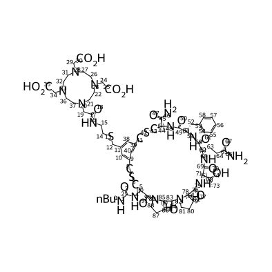 CCCCNC(=O)N[C@H]1CSCc2cc(CSCCNC(=O)CN3CCN(CC(=O)O)CCN(CC(=O)O)CCN(CC(=O)O)CC3)cc(c2)CSC[C@@H](C(N)=O)NC(=O)[C@H](Cc2ccccc2)NC(=O)[C@H](CCC(N)=O)NC(=O)[C@H]([C@@H](C)O)NC(=O)[C@@H]2CCCN2C(=O)[C@@H]2CCCN2C1=O